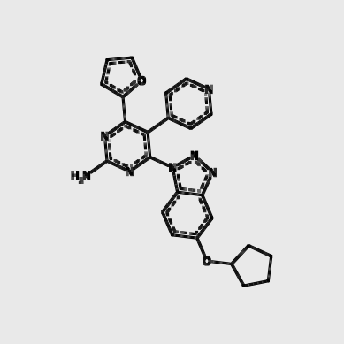 Nc1nc(-c2ccco2)c(-c2ccncc2)c(-n2nnc3cc(OC4CCCC4)ccc32)n1